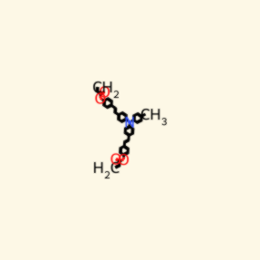 C=CC(=O)Oc1ccc(C=Cc2ccc(N(c3ccc(C)cc3)c3ccc(C=Cc4ccc(OC(=O)C=C)cc4)cc3)cc2)cc1